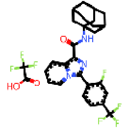 O=C(NC12CC3CC(CC(C3)C1)C2)c1nc(-c2ccc(C(F)(F)F)cc2F)n2ccccc12.O=C(O)C(F)(F)F